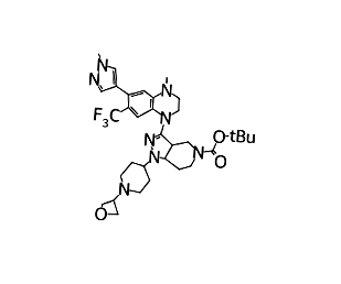 CN1CCN(C2=NN(C3CCN(C4COC4)CC3)C3CCN(C(=O)OC(C)(C)C)CC23)c2cc(C(F)(F)F)c(-c3cnn(C)c3)cc21